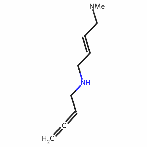 C=C=CCNCC=CCNC